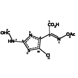 CC(=O)O/N=C(\C(=O)O)c1nc(NC=O)sc1Cl